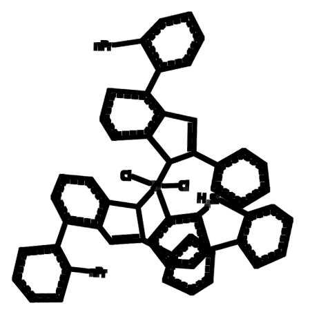 CCCc1ccccc1-c1cccc2c1C=C(c1ccccc1)[CH]2[Zr]([Cl])([Cl])([c]1cccc2c1[SiH2]c1ccccc1-2)[CH]1C(c2ccccc2)=Cc2c(-c3ccccc3CCC)cccc21